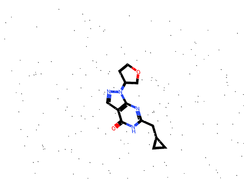 O=c1[nH]c(CC2CC2)nc2c1cnn2C1CCOC1